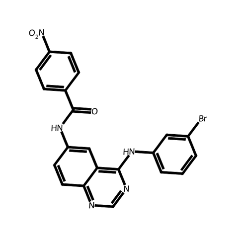 O=C(Nc1ccc2ncnc(Nc3cccc(Br)c3)c2c1)c1ccc([N+](=O)[O-])cc1